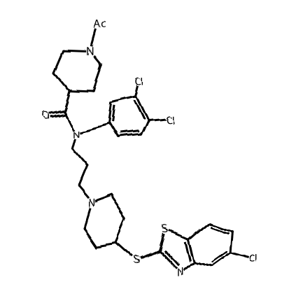 CC(=O)N1CCC(C(=O)N(CCCN2CCC(Sc3nc4cc(Cl)ccc4s3)CC2)c2ccc(Cl)c(Cl)c2)CC1